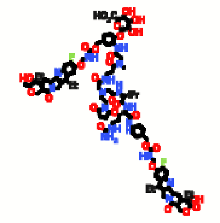 C=C1OCc2c(cc3n(c2=O)Cc2c-3nc3cc(F)c(OCNC(=O)OCc4ccc(O[C@@H]5O[C@H](C(=O)O)[C@@H](O)[C@H](O)[C@H]5O)c(NC(=O)CN(C)C(=O)CCNC(=O)CN(CCN5C(=O)C=CC5=O)CC(=O)N[C@H](C(=O)N[C@@H](CCCNC(N)=O)C(=O)Nc5ccc(COC(=O)NCOc6cc7c(CC)c8c(nc7cc6F)-c6cc7c(c(=O)n6C8)COC(=O)[C@]7(O)CC)cc5)C(C)C)c4)cc3c2CC)[C@@]1(O)CC